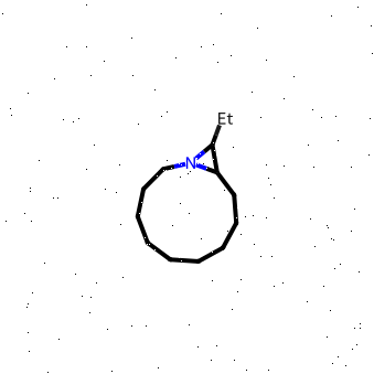 CCC1C2CCCCCCCCCN12